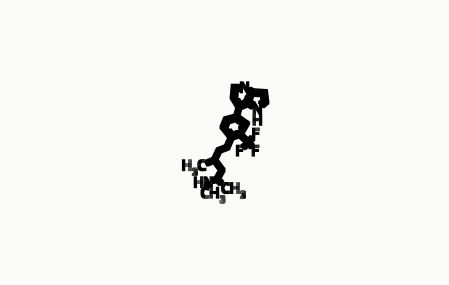 CNC(C)CC(C)CCc1ccc(-c2ccnc3cc[nH]c23)cc1C(F)(F)F